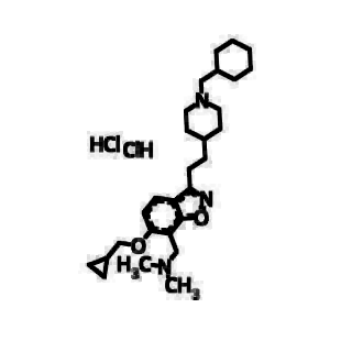 CN(C)Cc1c(OCC2CC2)ccc2c(CCC3CCN(CC4CCCCC4)CC3)noc12.Cl.Cl